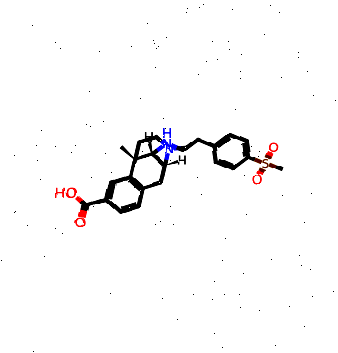 CN1CC[C@@]2(C)c3cc(C(=O)O)ccc3C[C@@H]1[C@H]2NCCc1ccc(S(C)(=O)=O)cc1